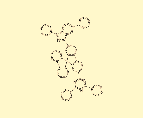 c1ccc(-c2ccc3c(c2)c(-c2ccc4c(c2)C2(c5ccccc5-c5ccccc52)c2cc(-c5nc(-c6ccccc6)nc(-c6ccccc6)n5)ccc2-4)nn3-c2ccccc2)cc1